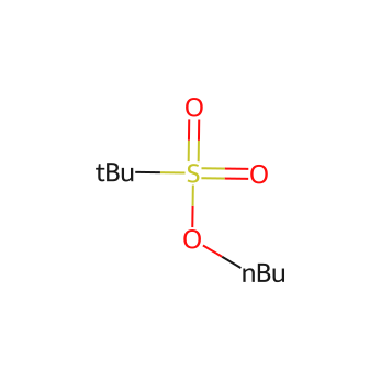 CCCCOS(=O)(=O)C(C)(C)C